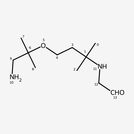 CC(C)(CCOC(C)(C)CN)NCC=O